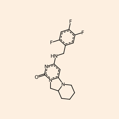 O=c1nc(NCc2cc(F)c(F)cc2F)cc2n1CC1CCCCN21